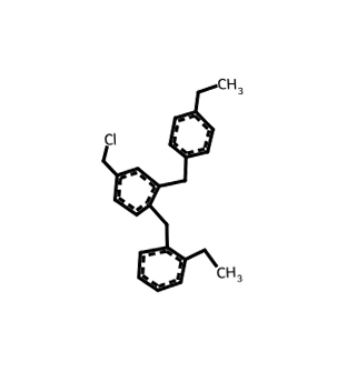 CCc1ccc(Cc2cc(CCl)ccc2Cc2ccccc2CC)cc1